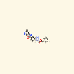 Cc1cc(C)cc(COC(=O)NCc2ccc(C(=O)Nc3cccnc3)cc2)c1